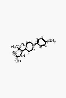 CC(C)(C)C(NC(=O)O)C1CCN(c2ccc(N)cc2)CC1